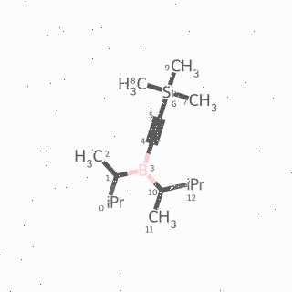 CC(C)C(C)B(C#C[Si](C)(C)C)C(C)C(C)C